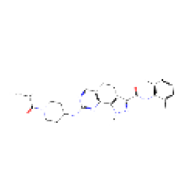 CCc1cccc(CC)c1NC(=O)c1nn(C)c2c1CCc1cnc(NC3CCN(C(=O)C(C)NC)CC3)nc1-2